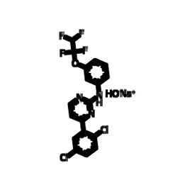 FC(F)C(F)(F)Oc1cccc(Nc2nccc(-c3cc(Cl)ccc3Cl)n2)c1.[Na+].[OH-]